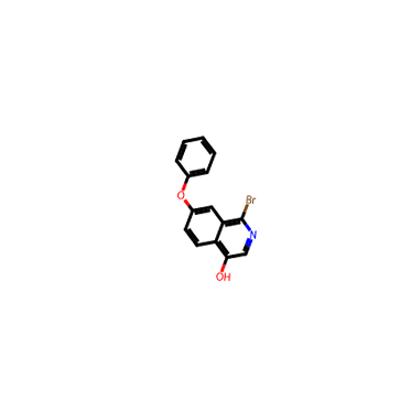 Oc1cnc(Br)c2cc(Oc3ccccc3)ccc12